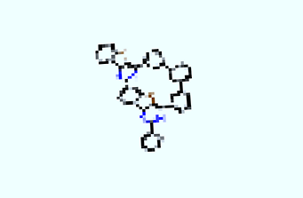 c1ccc(-c2nc(-c3cccc(-c4cccc(-c5cccc(-c6ncnc7c6sc6ccccc67)c5)c4)c3)c3sc4ccccc4c3n2)cc1